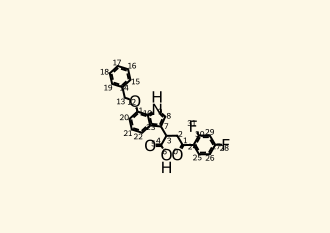 O=C(CC(C(=O)O)c1c[nH]c2c(OCc3ccccc3)cccc12)c1ccc(F)cc1F